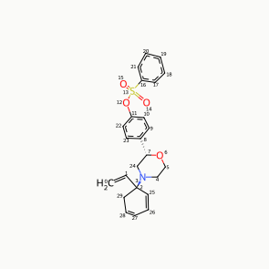 C=C[C@]1(N2CCO[C@@H](c3ccc(OS(=O)(=O)c4ccccc4)cc3)C2)C=CC=CC1